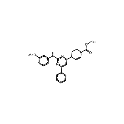 COc1cc(Nc2nc(-c3ccccc3)cc(C3C=CN(C(=O)OC(C)(C)C)CC3)n2)ccn1